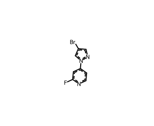 Fc1cc(-n2cc(Br)cn2)ccn1